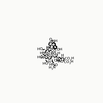 NC(=O)NCCC[C@H](NC(=O)[C@H](CCO)NC(=O)[C@H](CO)NC(=O)[C@H](CCO)NC(=O)[C@H](CC(=O)O)NC(=O)C1CCn2c(=O)[nH]c3cc4cc(O)c(=O)cc-4n1c32)C(=O)N[C@@H](CO)C(=O)NCC(=O)N[C@H](C(=O)O)C(O)C(=O)O